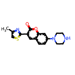 Cc1csc(-c2cc3ccc(N4CCNCC4)cc3oc2=O)n1